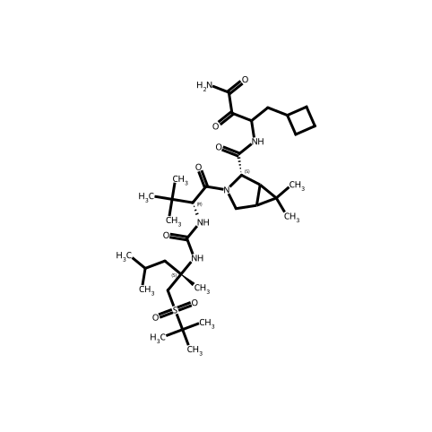 CC(C)C[C@@](C)(CS(=O)(=O)C(C)(C)C)NC(=O)N[C@@H](C(=O)N1CC2C([C@H]1C(=O)NC(CC1CCC1)C(=O)C(N)=O)C2(C)C)C(C)(C)C